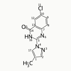 Cc1cnn(-c2nc3ccc(Cl)cc3c(=O)[nH]2)c1